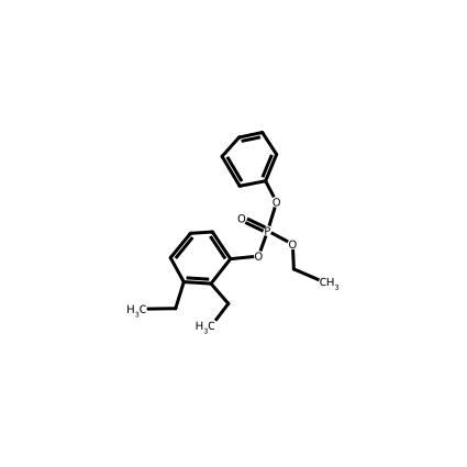 CCOP(=O)(Oc1ccccc1)Oc1cccc(CC)c1CC